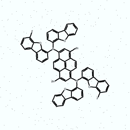 CC(C)c1cc(N(c2cccc3c2oc2ccccc23)c2cccc3c2oc2c(F)cccc23)c2ccc3c(C(C)C)cc(N(c4cccc5c4oc4ccccc45)c4cccc5c4oc4c(F)cccc45)c4ccc1c2c34